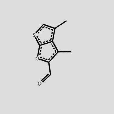 Cc1csc2oc(C=O)c(C)c12